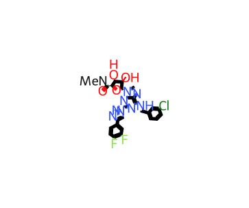 CNC(=O)[C@H]1O[C@@H](n2cnc3c(NCc4cccc(Cl)c4)nc(-n4cc(-c5ccc(F)c(F)c5)nn4)nc32)[C@H](O)[C@@H]1O